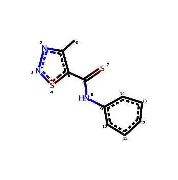 Cc1nnsc1C(=S)Nc1ccccc1